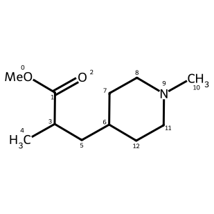 COC(=O)C(C)CC1CCN(C)CC1